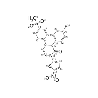 CS(=O)(=O)c1ccc(-c2cnn(-c3ccc([N+](=O)[O-])s3)c(=O)c2-c2ccc(F)cc2)cc1